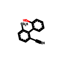 C#Cc1cccc(C(=O)O)c1-c1ccccc1O